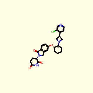 O=C1CC[C@@H](N2Cc3cc(O[C@H]4CCCC[C@@H]4N4CC(c5ccncc5Cl)C4)ccc3C2=O)C(=O)N1